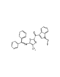 O=C(c1nc(C(F)(F)F)c(N=C(c2ccccc2)c2ccccc2)s1)c1cn(SF)c2ccccc12